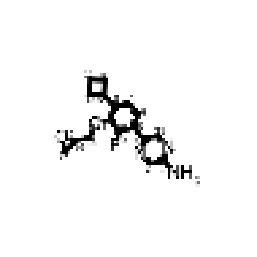 Nc1cnc(-c2ccc(C3CCC3)c(OCC3CO3)c2F)cn1